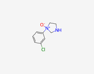 [O-][N+]1(c2cccc(Cl)c2)CCNC1